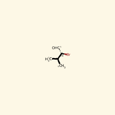 CC(C)[C@@H](Br)C=O